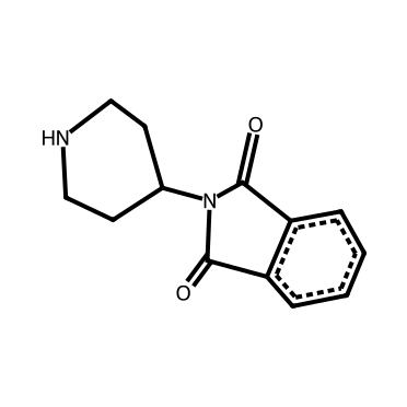 O=C1c2ccccc2C(=O)N1C1CCNCC1